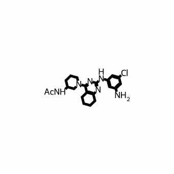 CC(=O)NC1CCCN(c2nc(Nc3cc(N)cc(Cl)c3)nc3c2CCCC3)C1